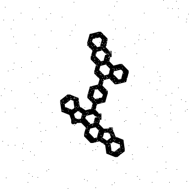 c1ccc2nc3c(cc(-c4ccc(-c5nc6c(ccc7c8ccccc8sc76)c6oc7ccccc7c56)cc4)c4ccccc43)cc2c1